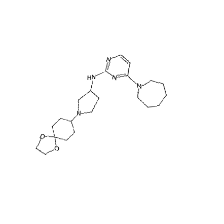 c1cc(N2CCCCCC2)nc(NC2CCN(C3CCC4(CC3)OCCO4)C2)n1